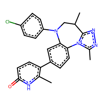 Cc1[nH]c(=O)ccc1-c1ccc2c(c1)N(c1ccc(Cl)cc1)CC(C)c1nnc(C)n1-2